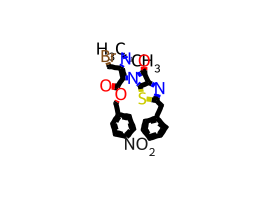 CN(C)C(CBr)=C(C(=O)OCc1ccc([N+](=O)[O-])cc1)N1C(=O)C2N=C(Cc3ccccc3)SC21